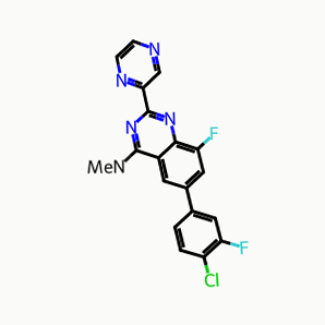 CNc1nc(-c2cnccn2)nc2c(F)cc(-c3ccc(Cl)c(F)c3)cc12